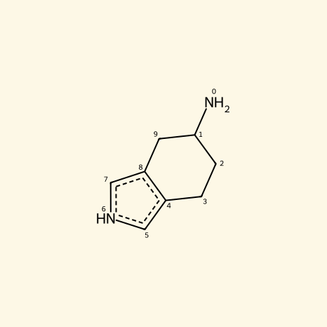 NC1CCc2c[nH]cc2C1